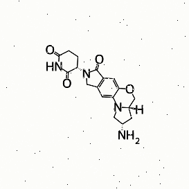 N[C@H]1C[C@H]2COc3cc4c(cc3N2C1)CN([C@H]1CCC(=O)NC1=O)C4=O